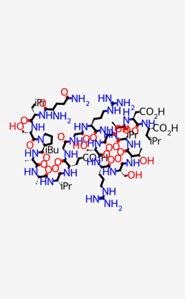 CC[C@H](C)[C@H](NC(=O)[C@H](CCC(=O)O)NC(=O)[C@@H](NC(=O)[C@H](C)NC(=O)[C@H](C)NC(=O)[C@@H]1CCCN1C(=O)[C@H](CO)NC(=O)[C@H](CC(C)C)NC(=O)[C@@H](N)CCC(N)=O)C(C)C)C(=O)NCC(=O)N[C@@H](CCCNC(=N)N)C(=O)N[C@H](C(=O)N[C@@H](CO)C(=O)N[C@@H](CCCNC(=N)N)C(=O)N[C@@H](CO)C(=O)N[C@H](C(=O)N[C@H](C(=O)N[C@@H](C)C(=O)N[C@@H](CC(=O)O)C(=O)N[C@@H](CC(C)C)C(=O)O)C(C)C)[C@@H](C)O)[C@@H](C)O